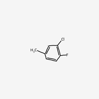 Cc1[c]c(Cl)c(F)cc1